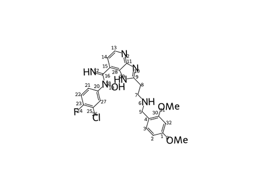 COc1ccc(CNCCc2nc3nccc(C(=N)N(O)c4ccc(F)c(Cl)c4)c3[nH]2)c(OC)c1